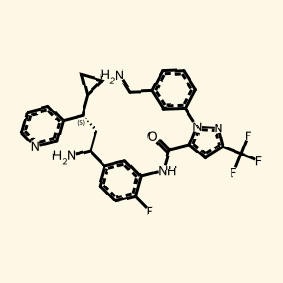 NCc1cccc(-n2nc(C(F)(F)F)cc2C(=O)Nc2cc(C(N)C[C@H](c3cccnc3)C3CC3)ccc2F)c1